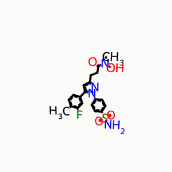 Cc1ccc(-c2cc(CCC(=O)N(C)O)nn2-c2ccc(S(N)(=O)=O)cc2)cc1F